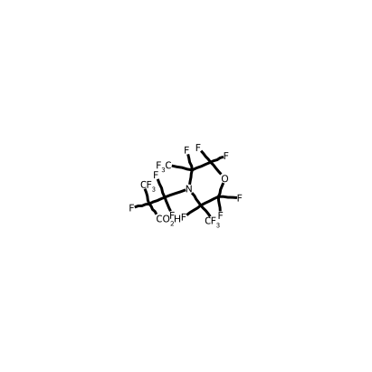 O=C(O)C(F)(C(F)(F)F)C(F)(F)N1C(F)(C(F)(F)F)C(F)(F)OC(F)(F)C1(F)C(F)(F)F